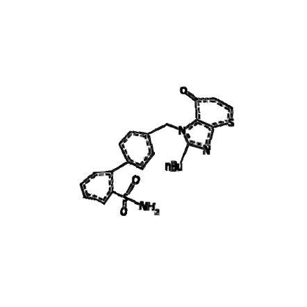 CCCCc1nc2sccc(=O)c2n1Cc1ccc(-c2ccccc2S(N)(=O)=O)cc1